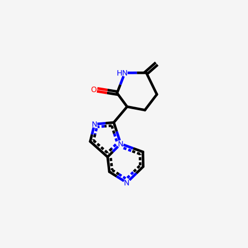 C=C1CCC(c2ncc3cnccn23)C(=O)N1